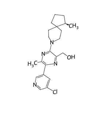 Cc1nc(N2CCC3(CCC[C@H]3C)CC2)c(CO)nc1-c1cncc(Cl)c1